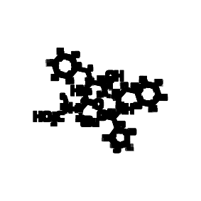 CN(C(=O)O)[C@H](C(=O)N[C@@H](Cc1ccccc1)[C@H](O)C[C@H](Cc1ccccc1)NC(=O)c1ccsc1)C(C)(C)C